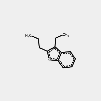 CCCc1sc2ccccc2c1CC